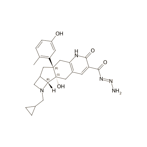 Cc1ccc(O)cc1[C@@]12Cc3[nH]c(=O)c(C(=O)N=NN)cc3C[C@@]1(O)[C@H]1C(CN1CC1CC1)C2